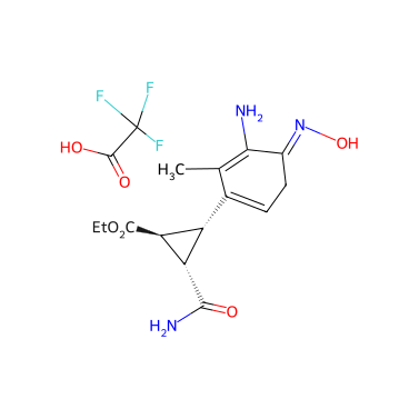 CCOC(=O)[C@@H]1[C@@H](C(N)=O)[C@H]1C1=CCC(=NO)C(N)=C1C.O=C(O)C(F)(F)F